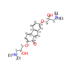 CCN(CC)CC(O)COC1=CC=C2C(=Cc3cc(OCC(O)CN(CC)CC)ccc32)C1=O